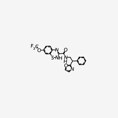 O=C(NCC(c1ccccc1)c1ncco1)C1=Nc2ccc(OC(F)(F)F)cc2SN1